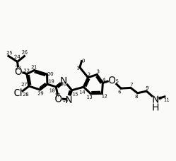 CCc1cc(OCCCCNC)ccc1-c1noc(-c2ccc(OC(C)C)c(Cl)c2)n1